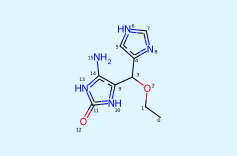 CCOC(c1c[nH]cn1)c1[nH]c(=O)[nH]c1N